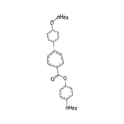 CCCCCCOc1ccc(-c2ccc(C(=O)Oc3ccc(CCCCCC)cc3)cc2)cc1